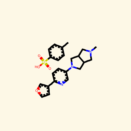 CN1CC2CN(c3ccc(-c4ccoc4)nc3)CC2C1.Cc1ccc(S(=O)(=O)O)cc1